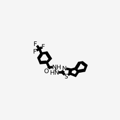 O=C(NNc1nc2c(s1)Cc1ccccc1-2)c1ccc(C(F)(F)F)cc1